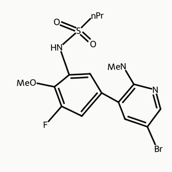 CCCS(=O)(=O)Nc1cc(-c2cc(Br)cnc2NC)cc(F)c1OC